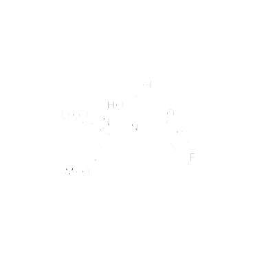 CCOC(=O)CN(CCN1CCC(C(=O)c2ccc(F)cc2)CC1)S(=O)(=O)c1ccc(OC)cc1.O=C(O)C(=O)O